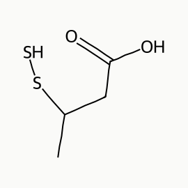 CC(CC(=O)O)SS